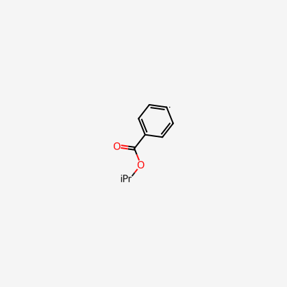 CC(C)OC(=O)c1cc[c]cc1